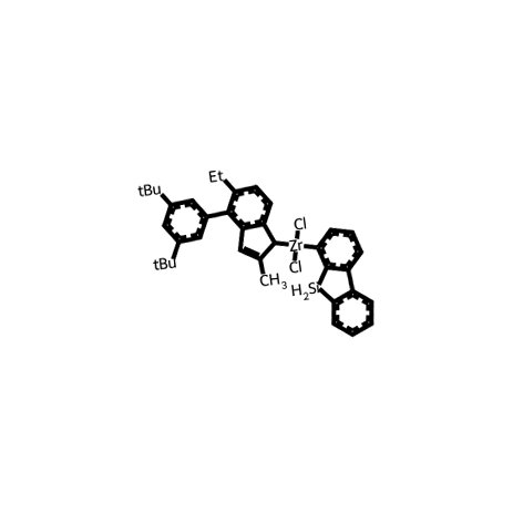 CCc1ccc2c(c1-c1cc(C(C)(C)C)cc(C(C)(C)C)c1)C=C(C)[CH]2[Zr]([Cl])([Cl])[c]1cccc2c1[SiH2]c1ccccc1-2